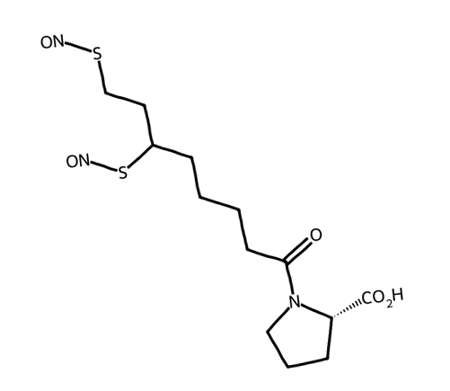 O=NSCCC(CCCCC(=O)N1CCC[C@H]1C(=O)O)SN=O